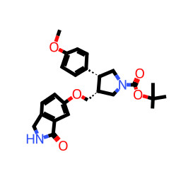 COc1ccc([C@@H]2CN(C(=O)OC(C)(C)C)C[C@@H]2COc2ccc3c(c2)C(=O)NC3)cc1